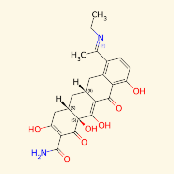 CC/N=C(\C)c1ccc(O)c2c1C[C@H]1C[C@H]3CC(O)=C(C(N)=O)C(=O)[C@@]3(O)C(O)=C1C2=O